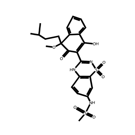 COC1(CCC(C)C)C(=O)C(C2=NS(=O)(=O)c3cc(NS(C)(=O)=O)ccc3N2)=C(O)c2ccccc21